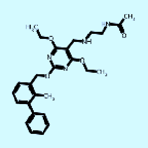 CCOc1nc(OCc2cccc(-c3ccccc3)c2C)nc(OCC)c1CNCCNC(C)=O